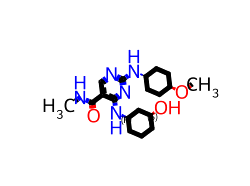 CNC(=O)c1cnc(N[C@H]2CC[C@H](OC)CC2)nc1N[C@@H]1CCC[C@H](O)C1